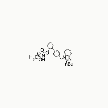 CCCCc1nc2ccccc2n1Cc1ccc(-c2ccccc2OC(=O)NS(C)(=O)=O)cc1